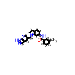 O=C(Nc1ccc2c(c1)N(Cc1cnc3[nH]ncc3c1)CC2)c1cccc(C(F)(F)F)c1